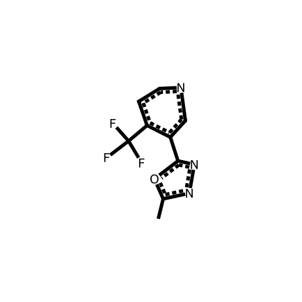 Cc1nnc(-c2cnccc2C(F)(F)F)o1